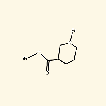 CCN1CCC[C@@H](C(=O)OC(C)C)C1